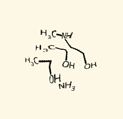 CCO.CCO.CNCCO.N